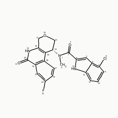 CN(C(=O)c1cc2c(Cl)cccc2[nH]1)[C@H]1COCc2[nH]c(=O)c3cc(F)ccc3c21